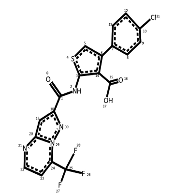 O=C(Nc1scc(-c2ccc(Cl)cc2)c1C(=O)O)c1cc2nccc(C(F)(F)F)n2n1